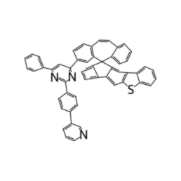 C1=Cc2ccc(-c3cc(-c4ccccc4)nc(-c4ccc(-c5cccnc5)cc4)n3)cc2C2(c3ccccc31)c1ccccc1-c1cc3sc4ccccc4c3cc12